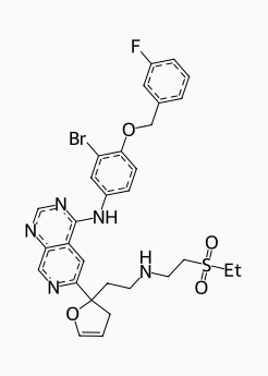 CCS(=O)(=O)CCNCCC1(c2cc3c(Nc4ccc(OCc5cccc(F)c5)c(Br)c4)ncnc3cn2)CC=CO1